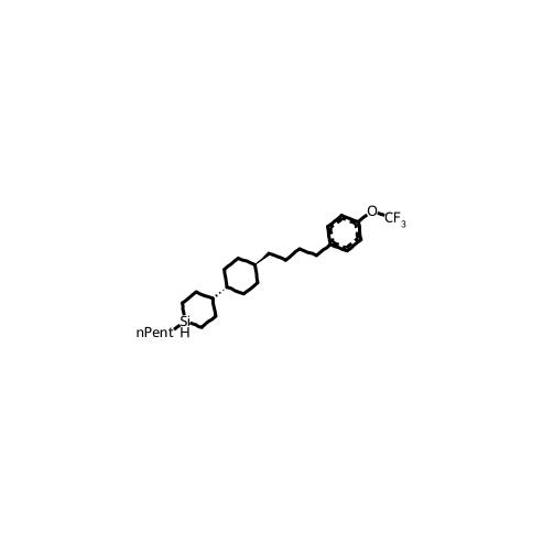 CCCCC[SiH]1CCC([C@H]2CC[C@H](CCCCc3ccc(OC(F)(F)F)cc3)CC2)CC1